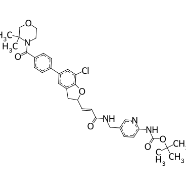 CC(C)(C)OC(=O)Nc1ccc(CNC(=O)/C=C/C2Cc3cc(-c4ccc(C(=O)N5CCOCC5(C)C)cc4)cc(Cl)c3O2)cn1